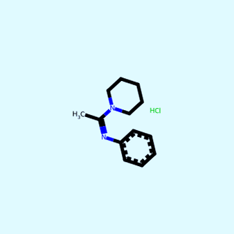 CC(=Nc1ccccc1)N1CCCCC1.Cl